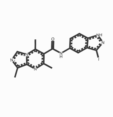 Cc1nc2c(C)ncn2c(C)c1C(=O)Nc1ccc2[nH]nc(I)c2c1